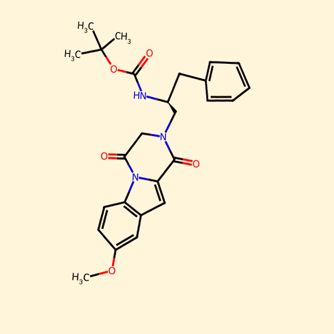 COc1ccc2c(c1)cc1n2C(=O)CN(C[C@H](Cc2ccccc2)NC(=O)OC(C)(C)C)C1=O